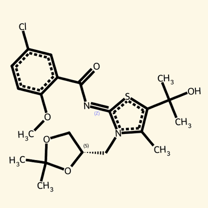 COc1ccc(Cl)cc1C(=O)/N=c1\sc(C(C)(C)O)c(C)n1C[C@H]1COC(C)(C)O1